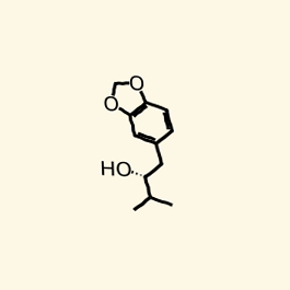 CC(C)[C@H](O)Cc1ccc2c(c1)OCO2